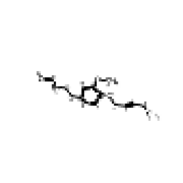 CCC#CCOc1ccc(CCNC=O)cc1OC